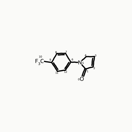 O=C1C=CCN1c1ccc(C(F)(F)F)cc1